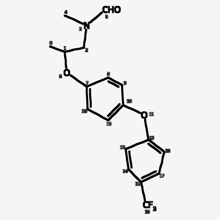 CC(CN(C)C=O)Oc1ccc(Oc2ccc(C(F)(F)F)cc2)cc1